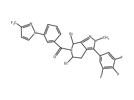 CCC1Cc2c(nn(C)c2-c2cc(F)c(F)c(F)c2)C(CC)N1C(=O)c1cccc(-n2ccc(C(F)(F)F)n2)c1